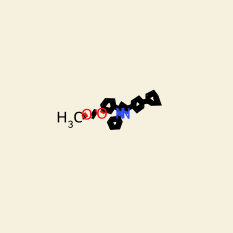 CCOCCOc1cccc(C2CC(c3ccc(-c4ccccc4)cc3)=NN2c2ccccc2)c1